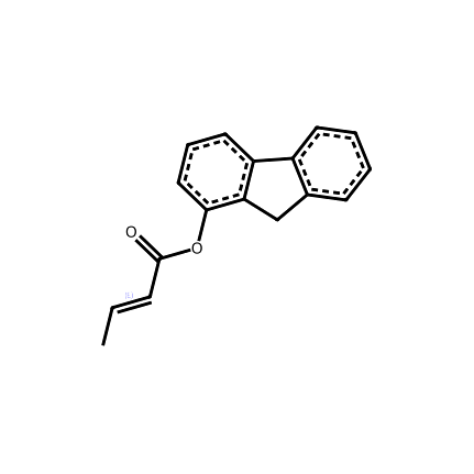 C/C=C/C(=O)Oc1cccc2c1Cc1ccccc1-2